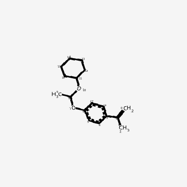 C=C(C)c1ccc(OC(C)OC2CCCCC2)cc1